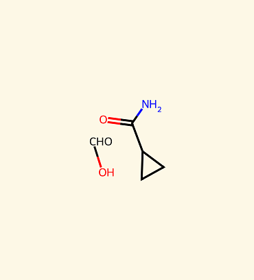 NC(=O)C1CC1.O=CO